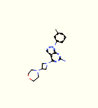 Nc1nc(N2CC(N3CCOCC3)C2)c2cnn(-c3cccc(C(F)(F)F)c3)c2n1